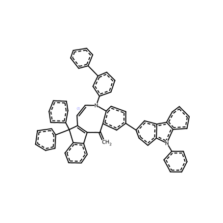 C=C1C2=C(/C=C\N(c3cccc(-c4ccccc4)c3)c3ccc(-c4ccc5c(c4)c4ccccc4n5-c4ccccc4)cc31)C(c1ccccc1)(c1ccccc1)c1ccccc12